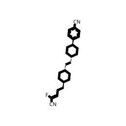 N#CC(F)=CCC[C@H]1CC[C@H](CC[C@H]2CC[C@H](c3ccc(C#N)cc3)CC2)CC1